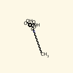 CCCCCCCCCCCCCCC/C=C/OC(=O)c1ccc(C(=O)O)cc1C(=O)O